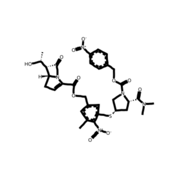 Cc1cc(COC(=O)C2=CC[C@@H]3[C@H]([C@@H](C)O)C(=O)N23)cc(S[C@H]2C[C@@H](C(=O)N(C)C)N(C(=O)OCc3ccc([N+](=O)[O-])cc3)C2)c1[N+](=O)[O-]